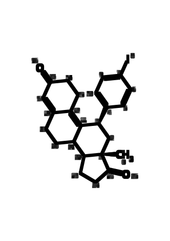 C[C@]12C[C@H](c3ccc(I)cc3)C3=C4CCC(=O)C=C4CCC3C1CCC2=O